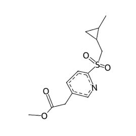 COC(=O)Cc1ccc(S(=O)(=O)CC2CC2C)nc1